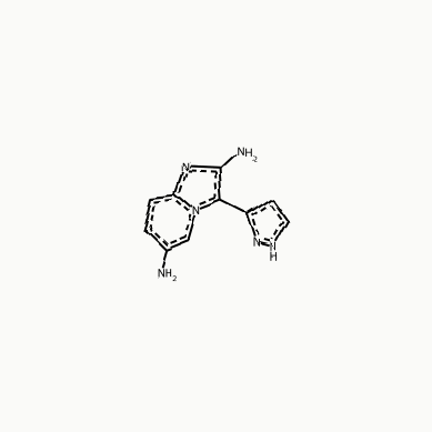 Nc1ccc2nc(N)c(-c3cc[nH]n3)n2c1